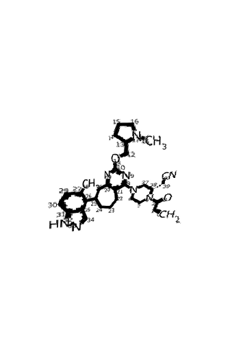 C=CC(=O)N1CCN(c2nc(OCC3CCCN3C)nc3c2CCCC(c2c(C)ccc4[nH]ncc24)C3)C[C@@H]1CC#N